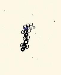 C/C=C1/C(=O)N(c2ccc(S(=O)(=O)C3=CCC=C(N4C(=O)c5ccccc5C4=O)C=C3)cc2)C(=O)/C1=C/C